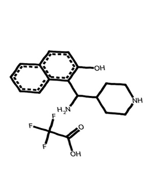 NC(c1c(O)ccc2ccccc12)C1CCNCC1.O=C(O)C(F)(F)F